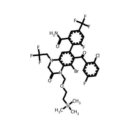 C[Si](C)(C)CCOCN1C(=O)CN(CC(F)(F)F)c2cc(-c3c(F)cc(C(F)(F)F)cc3C(N)=O)c(C(=O)c3cc(F)ccc3Cl)c(Br)c21